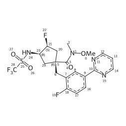 CON(C)C(=O)[C@@]1(Cc2cc(-c3ncccn3)ccc2F)C[C@H](F)[C@H](NS(=O)(=O)C(F)(F)F)C1